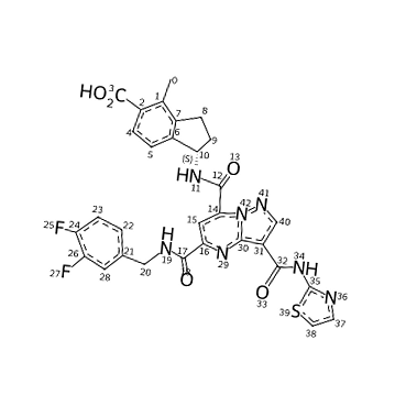 Cc1c(C(=O)O)ccc2c1CC[C@@H]2NC(=O)c1cc(C(=O)NCc2ccc(F)c(F)c2)nc2c(C(=O)Nc3nccs3)cnn12